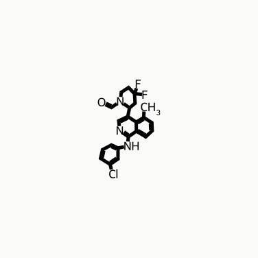 Cc1cccc2c(Nc3cccc(Cl)c3)ncc(C3CC(F)(F)CCN3C=O)c12